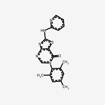 Cc1cc(C)c(-n2cnc3nc(Nc4ccccn4)sc3c2=O)c(C)c1